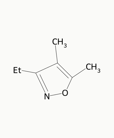 [CH2]Cc1noc(C)c1C